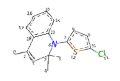 CC1=CC(C)(C)N(c2ccc(Cl)s2)c2ccccc21